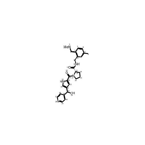 CNCc1ccc(C)cc1CNC(=O)[C@@H]1CCCN1C(=O)c1cc(C(O)c2ccncc2)c[nH]1